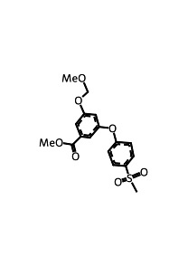 COCOc1cc(Oc2ccc(S(C)(=O)=O)cc2)cc(C(=O)OC)c1